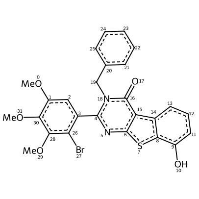 COc1cc(-c2nc3sc4c(O)cccc4c3c(=O)n2Cc2ccccc2)c(Br)c(OC)c1OC